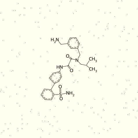 CC(C)CN(Cc1cccc(CN)c1)C(=O)C(=O)Nc1ccc(-c2ccccc2S(N)(=O)=O)cc1